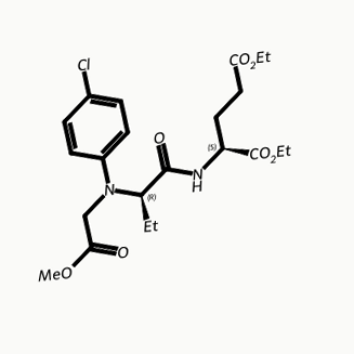 CCOC(=O)CC[C@H](NC(=O)[C@@H](CC)N(CC(=O)OC)c1ccc(Cl)cc1)C(=O)OCC